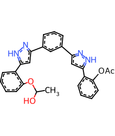 CC(=O)Oc1ccccc1-c1cc(-c2cccc(-c3cc(-c4ccccc4OC(C)O)[nH]n3)c2)n[nH]1